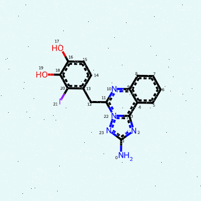 Nc1nc2c3ccccc3nc(Cc3ccc(O)c(O)c3I)n2n1